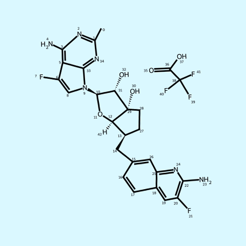 Cc1nc(N)c2c(F)cn([C@@H]3O[C@@H]4[C@H](Cc5ccc6cc(F)c(N)nc6c5)CC[C@]4(O)[C@H]3O)c2n1.O=C(O)C(F)(F)F